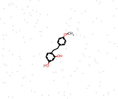 COc1ccc(CCc2ccc(O)cc2O)cc1